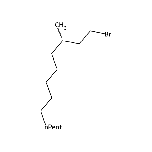 CCCCCCCCCC[C@H](C)CCBr